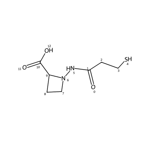 O=C(CCS)NN1CCC1C(=O)O